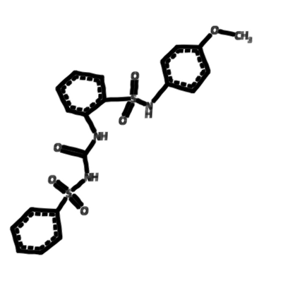 COc1ccc(NS(=O)(=O)c2ccccc2NC(=O)NS(=O)(=O)c2ccccc2)cc1